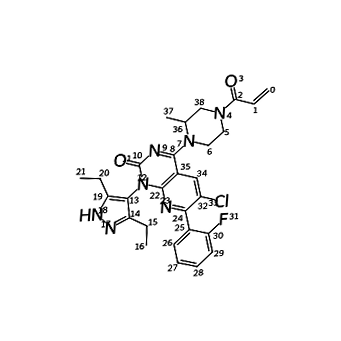 C=CC(=O)N1CCN(c2nc(=O)n(-c3c(CC)n[nH]c3CC)c3nc(-c4ccccc4F)c(Cl)cc23)C(C)C1